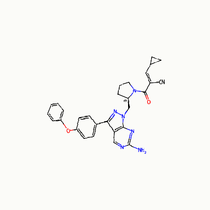 N#CC(=CC1CC1)C(=O)N1CCC[C@@H]1Cn1nc(-c2ccc(Oc3ccccc3)cc2)c2cnc(N)nc21